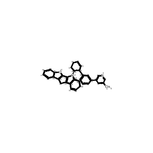 Cc1cncc(-c2cccc(C3C=CCC[C@@H]3n3c4c(c5c3C3=C(C5)C5C=CC=CC5O3)C=CCC4)c2)c1